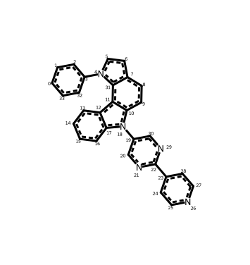 c1ccc(-n2ccc3ccc4c(c5ccccc5n4-c4cnc(-c5ccncc5)nc4)c32)cc1